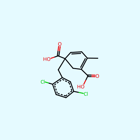 CC1=C(C(=O)O)CC(Cc2cc(Cl)ccc2Cl)(C(=O)O)C=C1